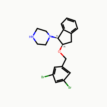 Brc1cc(Br)cc(CO[C@@H]2Cc3ccccc3[C@@H]2N2CCNCC2)c1